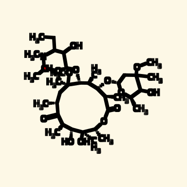 CCO[C@@H](O[C@@H]1[C@@H](C)[C@H](O[C@@H]2CC(C)(OC)C(O)[C@@H](C)O2)[C@@H](C)C(=O)O[C@H](C)[C@@](C)(O)[C@H](O)[C@@H](C)C(=O)[C@H](C)C[C@@]1(C)OC)C(O)C(CC)N(C)C